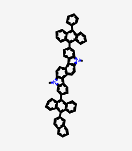 Cn1c2cc(-c3c4ccccc4c(-c4ccccc4)c4ccccc34)ccc2c2c3ccc4c(c3ccc21)c1ccc(-c2c3ccccc3c(-c3ccc5ccccc5c3)c3ccccc23)cc1n4C